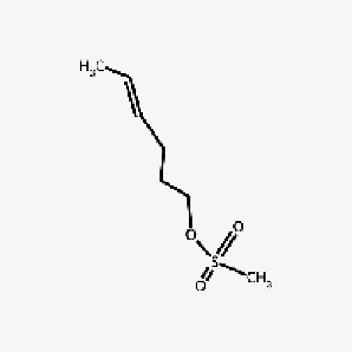 CC=CCCCOS(C)(=O)=O